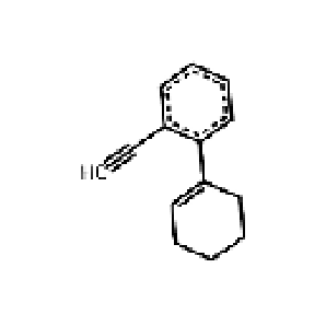 C#Cc1ccccc1C1=CCCCC1